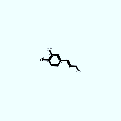 [O]CC=Cc1ccc(Cl)c(Cl)c1